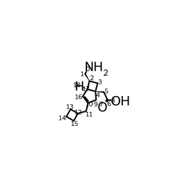 NC[C@H]1C[C@]2(CC(=O)O)CC(CC3CCC3)=C[C@@H]12